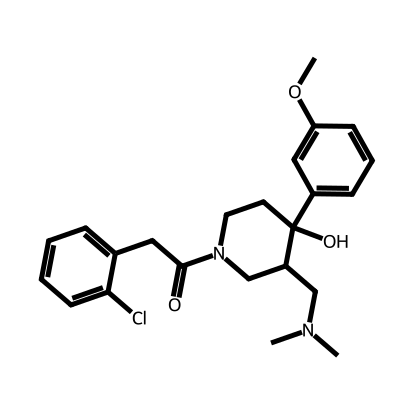 COc1cccc(C2(O)CCN(C(=O)Cc3ccccc3Cl)CC2CN(C)C)c1